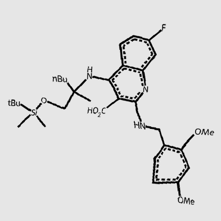 CCCCC(C)(CO[Si](C)(C)C(C)(C)C)Nc1c(C(=O)O)c(NCc2ccc(OC)cc2OC)nc2cc(F)ccc12